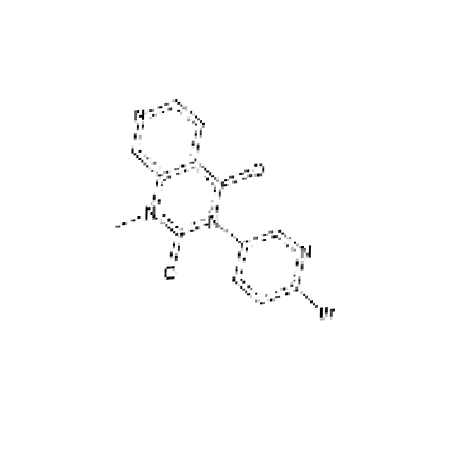 Cn1c(=O)n(-c2ccc(Br)nc2)c(=O)c2ccncc21